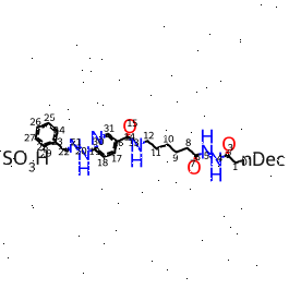 CCCCCCCCCCCC(=O)NNC(=O)CCCCCNC(=O)c1ccc(N/N=C/c2ccccc2S(=O)(=O)O)nc1